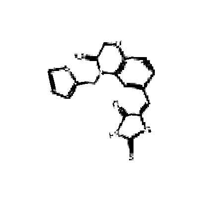 O=C1NC(=S)SC1=Cc1ccc2c(c1)N(Cc1cccs1)C(=O)CO2